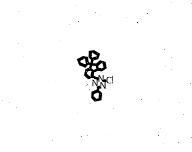 Clc1nc(-c2ccccc2)nc(-c2cccc3c2-c2ccccc2C3(c2ccccc2)c2ccccc2)n1